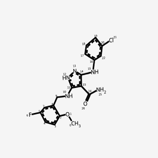 COc1ccc(F)cc1CNc1[nH]nc(Nc2cccc(Cl)c2)c1C(N)=O